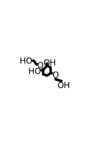 OCCOC1CCC(O)(OCCO)C(O)C1